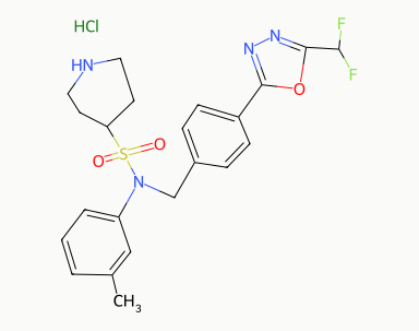 Cc1cccc(N(Cc2ccc(-c3nnc(C(F)F)o3)cc2)S(=O)(=O)C2CCNCC2)c1.Cl